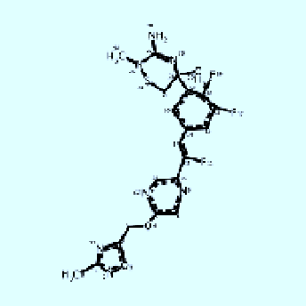 Cc1noc(COc2cnc(/C(F)=C/c3cc(F)c(F)c([C@]4(C)CSN(C)C(N)=N4)c3)cn2)n1